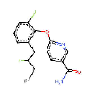 CC(C)CC(F)Cc1cccc(F)c1Oc1ccc(C(N)=O)cn1